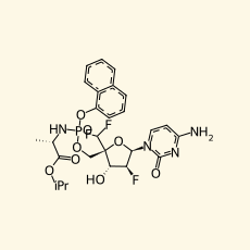 CC(C)OC(=O)[C@H](C)NP(=O)(OC[C@@]1(C(F)F)O[C@@H](n2ccc(N)nc2=O)[C@@H](F)[C@@H]1O)Oc1cccc2ccccc12